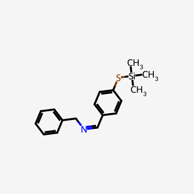 C[Si](C)(C)Sc1ccc(/C=N\Cc2ccccc2)cc1